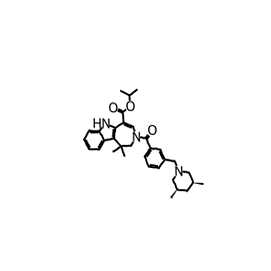 CC(C)OC(=O)C1=CN(C(=O)c2cccc(CN3C[C@H](C)C[C@H](C)C3)c2)CC(C)(C)c2c1[nH]c1ccccc21